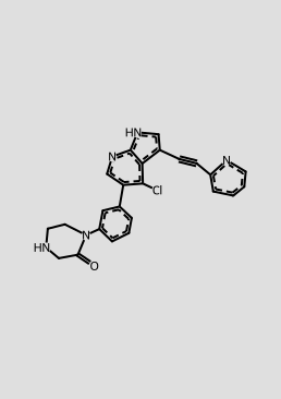 O=C1CNCCN1c1cccc(-c2cnc3[nH]cc(C#Cc4ccccn4)c3c2Cl)c1